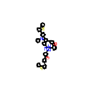 c1ccc(-c2nc(-c3ccc4c(c3)oc3cc(-c5cccc6sc7ccccc7c56)ccc34)nc(-c3cccc4oc5ccc(-c6ccc7c(c6)c6ccc(-c8cccc9c8sc8ccccc89)cc6n7-c6ccccc6)cc5c34)n2)cc1